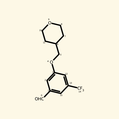 O=Cc1cc(OCC2CCOCC2)cc(C(F)(F)F)c1